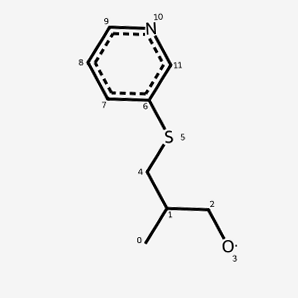 CC(C[O])CSc1cccnc1